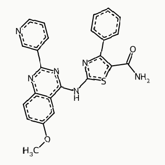 COc1ccc2nc(-c3cccnc3)nc(Nc3nc(-c4ccccc4)c(C(N)=O)s3)c2c1